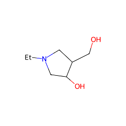 CCN1CC(O)C(CO)C1